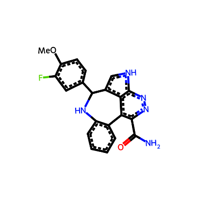 COc1ccc(C2Nc3ccccc3-c3c(C(N)=O)nnc4[nH]cc2c34)cc1F